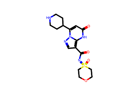 O=C(N=S1(=O)CCOCC1)c1cnn2c(C3CCNCC3)cc(=O)[nH]c12